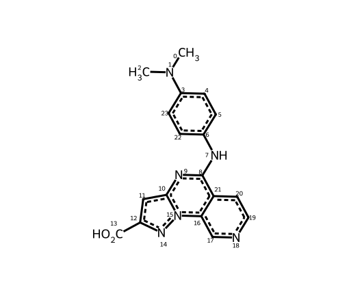 CN(C)c1ccc(Nc2nc3cc(C(=O)O)nn3c3cnccc23)cc1